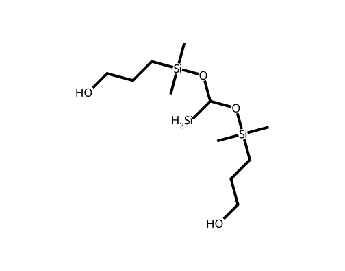 C[Si](C)(CCCO)OC([SiH3])O[Si](C)(C)CCCO